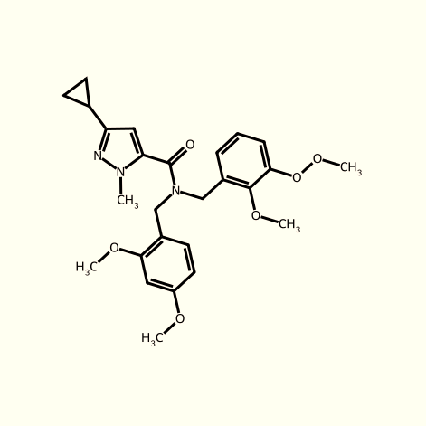 COOc1cccc(CN(Cc2ccc(OC)cc2OC)C(=O)c2cc(C3CC3)nn2C)c1OC